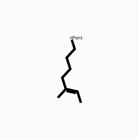 [CH2]C(=CC)CCCCCCCCC